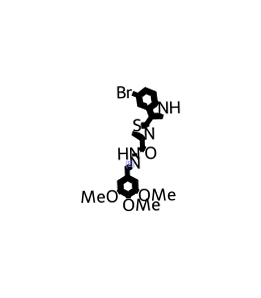 COc1cc(/C=N/NC(=O)c2csc(-c3c[nH]c4ccc(Br)cc34)n2)cc(OC)c1OC